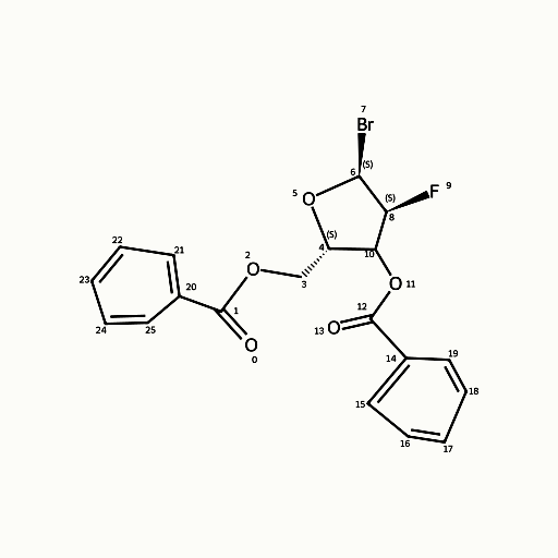 O=C(OC[C@@H]1O[C@@H](Br)[C@@H](F)C1OC(=O)c1ccccc1)c1ccccc1